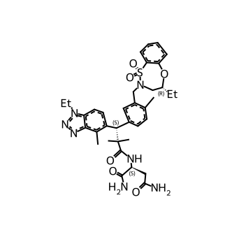 CC[C@@H]1CN(Cc2cc([C@@H](c3ccc4c(nnn4CC)c3C)C(C)(C)C(=O)N[C@@H](CC(N)=O)C(N)=O)ccc2C)S(=O)(=O)c2ccccc2O1